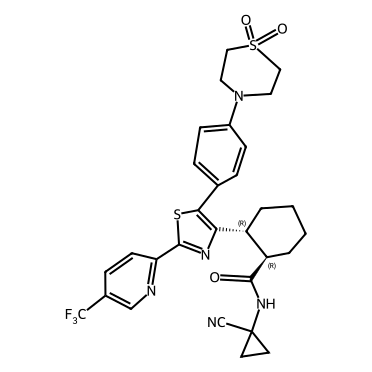 N#CC1(NC(=O)[C@@H]2CCCC[C@H]2c2nc(-c3ccc(C(F)(F)F)cn3)sc2-c2ccc(N3CCS(=O)(=O)CC3)cc2)CC1